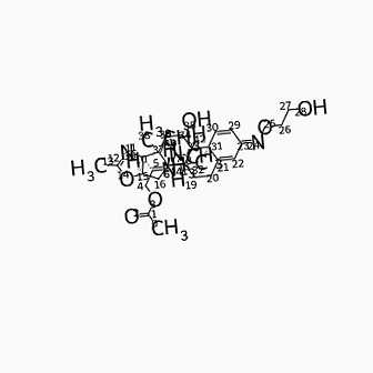 CC(=O)OC/C(=N/N(C)C)[C@@]12N=C(C)O[C@@H]1C[C@H]1[C@@H]3CCC4=C/C(=N/OCCO)C=C[C@]4(C)[C@H]3[C@@H](O)C[C@@]12C